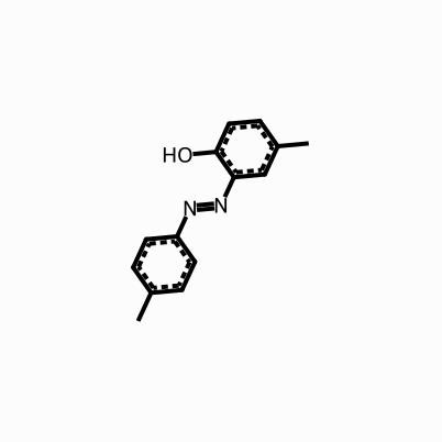 Cc1ccc(N=Nc2cc(C)ccc2O)cc1